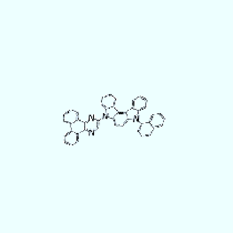 c1ccc2c(-n3c4ccccc4c4c5c6ccccc6n(-c6cnc7c8ccccc8c8ccccc8c7n6)c5ccc43)cccc2c1